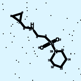 O=S(=O)(CCNCC1CC1)N1CC[CH]CC1